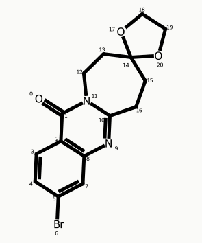 O=c1c2ccc(Br)cc2nc2n1CCC1(CC2)OCCO1